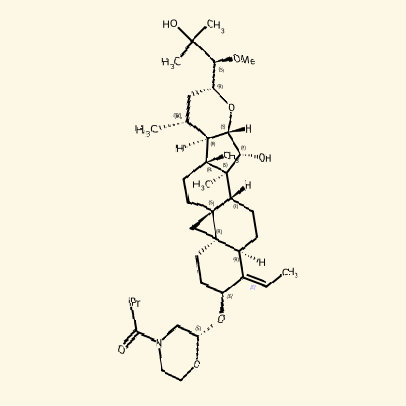 C/C=C1/[C@@H](O[C@H]2CN(C(=O)C(C)C)CCO2)CC[C@]23C[C@]24CC[C@]2(C)[C@@H]5[C@H](O[C@@H]([C@H](OC)C(C)(C)O)C[C@H]5C)[C@H](O)[C@@]2(C)[C@@H]4CC[C@@H]13